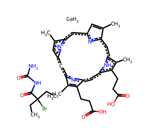 CC1=Cc2cc3[nH]c(cc4nc(cc5[nH]c(cc1n2)c(C)c5CCC(=O)O)C(CCC(=O)O)=C4C)cc3C.CCC(Br)(CC)C(=O)NC(N)=O.[GaH3]